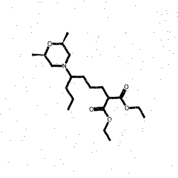 CCCC(CCCC(C(=O)OCC)C(=O)OCC)N1C[C@@H](C)O[C@@H](C)C1